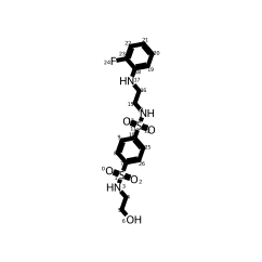 O=S(=O)(NCCO)c1ccc(S(=O)(=O)NCCNc2ccccc2F)cc1